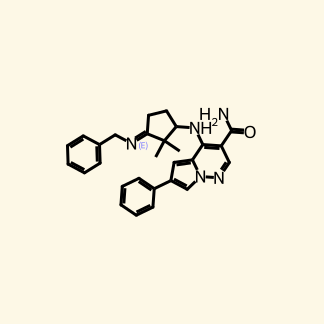 CC1(C)/C(=N/Cc2ccccc2)CCC1Nc1c(C(N)=O)cnn2cc(-c3ccccc3)cc12